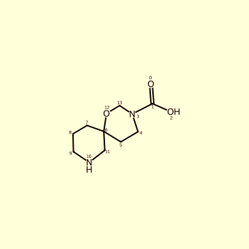 O=C(O)N1CCC2(CCCNC2)OC1